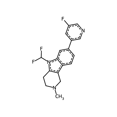 CN1CCc2c(c3ccc(-c4cncc(F)c4)cc3n2C(F)F)C1